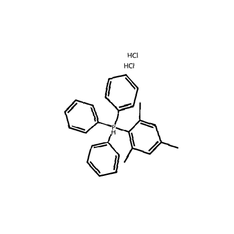 Cc1cc(C)c([PH](c2ccccc2)(c2ccccc2)c2ccccc2)c(C)c1.Cl.Cl